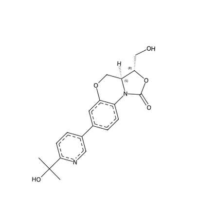 CC(C)(O)c1ccc(-c2ccc3c(c2)OC[C@H]2[C@H](CO)OC(=O)N32)cn1